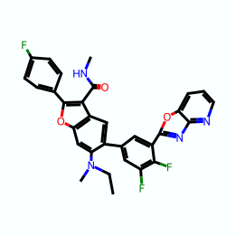 CCN(C)c1cc2oc(-c3ccc(F)cc3)c(C(=O)NC)c2cc1-c1cc(F)c(F)c(-c2nc3ncccc3o2)c1